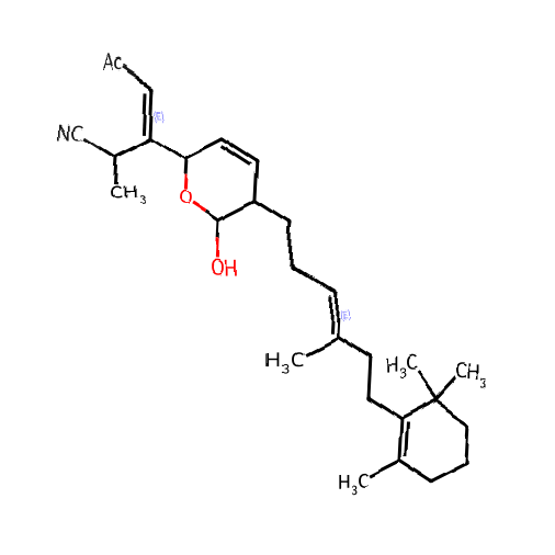 CC(=O)/C=C(\C(C)C#N)C1C=CC(CC/C=C(\C)CCC2=C(C)CCCC2(C)C)C(O)O1